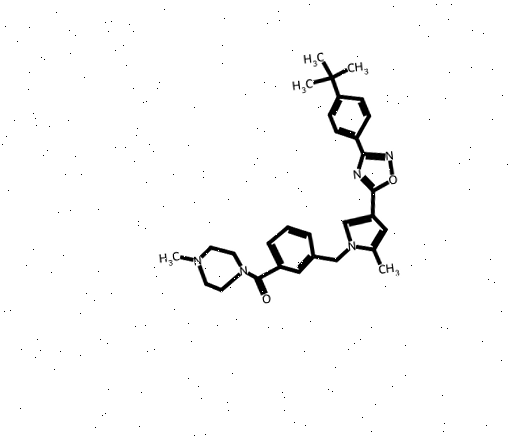 Cc1cc(-c2nc(-c3ccc(C(C)(C)C)cc3)no2)cn1Cc1cccc(C(=O)N2CCN(C)CC2)c1